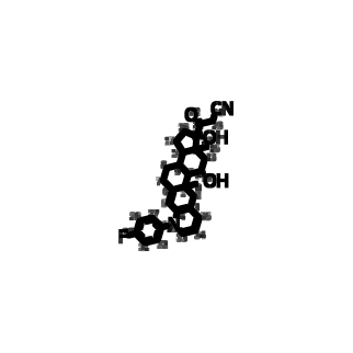 CC12CC3=C(C=C1CCC1C2[C@@H](O)CC2(C)C1CC[C@]2(O)C(=O)CC#N)N(c1ccc(F)cc1)C=C=C3